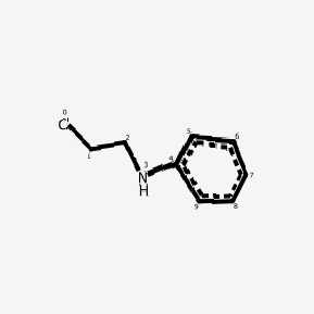 ClCCNc1ccccc1